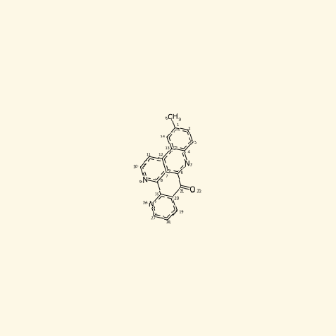 Cc1ccc2nc3c4c(nccc4c2c1)-c1ncccc1C3=O